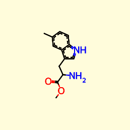 COC(=O)C(N)Cc1c[nH]c2ccc(C)cc12